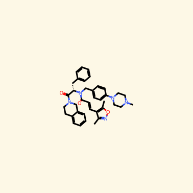 Cc1noc(C)c1C=CC(=O)N(Cc1ccc(N2CCN(C)CC2)cc1)[C@@H](Cc1ccccc1)C(=O)N1CCc2ccccc2C1